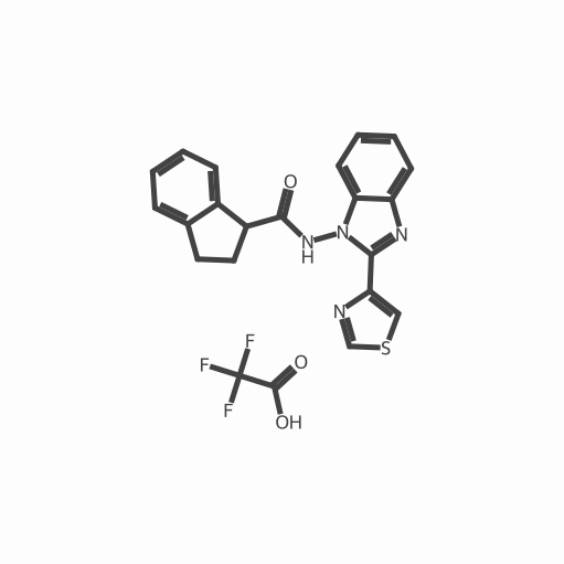 O=C(Nn1c(-c2cscn2)nc2ccccc21)C1CCc2ccccc21.O=C(O)C(F)(F)F